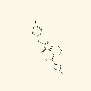 Cc1ccc(Cn2nc3n(c2=O)[C@H](C(=O)N2CC(C)C2)CCC3)cc1